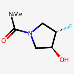 CNC(=O)N1C[C@H](O)[C@@H](F)C1